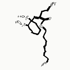 CC(C)CCCCCCCOC(=O)C(=CC1(C(=O)O)CCCCC1C(=O)O)CCC(C)C